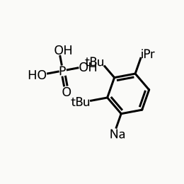 CC(C)c1cc[c]([Na])c(C(C)(C)C)c1C(C)(C)C.O=P(O)(O)O